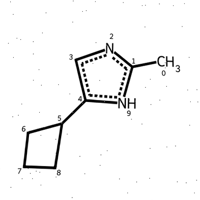 Cc1ncc(C2CCC2)[nH]1